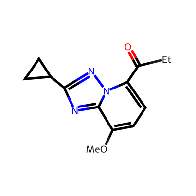 CCC(=O)c1ccc(OC)c2nc(C3CC3)nn12